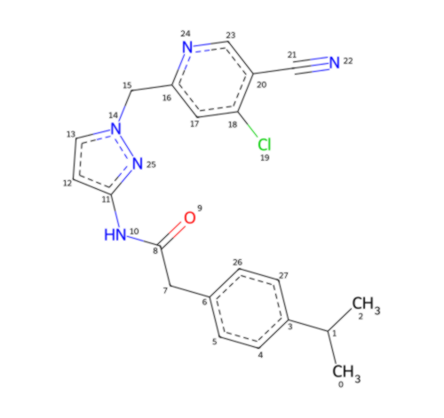 CC(C)c1ccc(CC(=O)Nc2ccn(Cc3cc(Cl)c(C#N)cn3)n2)cc1